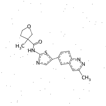 Cc1cc2cc(-c3cnc(NC(=O)C4(C)CCOC4)s3)ccc2nn1